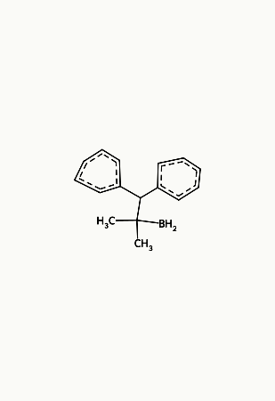 BC(C)(C)C(c1ccccc1)c1ccccc1